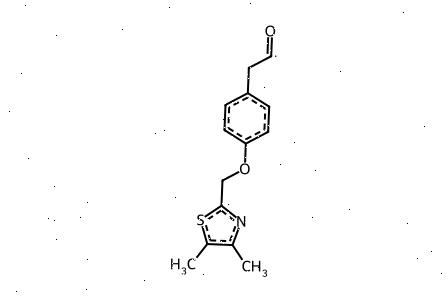 Cc1nc(COc2ccc(C[C]=O)cc2)sc1C